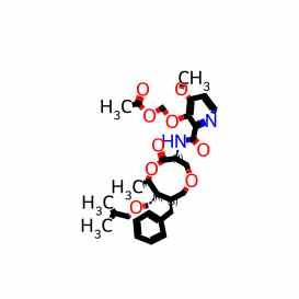 COc1ccnc(C(=O)N[C@@H]2COC[C@@H](Cc3ccccc3)[C@H](COCC(C)C)[C@@H](C)OC2=O)c1OCOC(C)=O